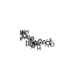 O=C(COc1ccc(Cl)c(F)c1)NC12CCC(NC(=O)COc3cc(F)c4cn[nH]c4c3)(CC1)[C@@H](O)C2